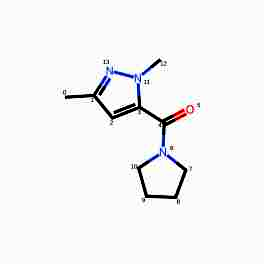 Cc1cc(C(=O)N2CCCC2)n(C)n1